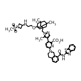 Cc1c(-c2ccc(N3CCc4cccc(C(=O)Nc5nc6ccccc6s5)c4C3)nc2C(=O)O)cnn1CC12CC3(C)CC(C)(C1)CC(OCCNC1CN(S(C)(=O)=O)C1)(C3)C2